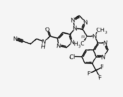 C[C@@H](c1ncnn1-c1cc(C(=O)NCCC#N)ncn1)N(C)c1ncnc2c(C(F)(F)F)cc(Cl)cc12